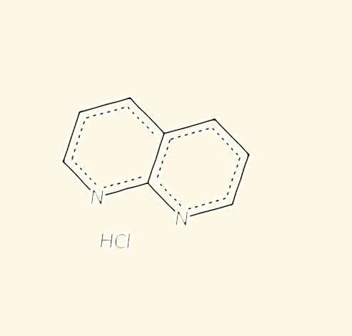 Cl.c1cnc2ncccc2c1